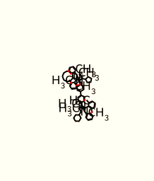 Cc1cc(-c2ccc(N3C(C4CCCC4)[C@H](C)N(c4ccccc4C)C3(c3c(C)cccc3C)C3CCCCCCCC3)cc2)ccc1N1C(c2c(C)cccc2C)N(c2ccccc2)C(C2CCCCC2)[C@@H]1C